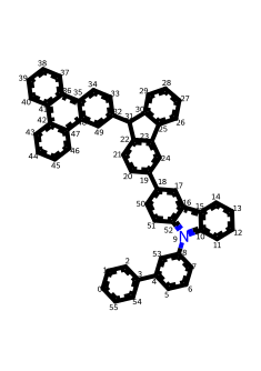 c1ccc(-c2cccc(-n3c4ccccc4c4cc(-c5ccc6c(c5)-c5ccccc5C6c5ccc6c7ccccc7c7ccccc7c6c5)ccc43)c2)cc1